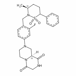 C[C@H]1CCC(c2ccccc2)S(=O)(=O)N1Cc1ccc(N2CCN3C(=O)CNC(=O)[C@@H]3C2)cc1F